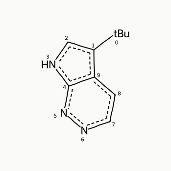 CC(C)(C)c1c[nH]c2nnccc12